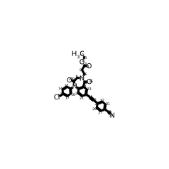 CCOC(=O)CCN1CC(=O)N(c2ccc(Cl)cc2)c2ccc(C#Cc3ccc(C#N)cc3)cc2C1=O